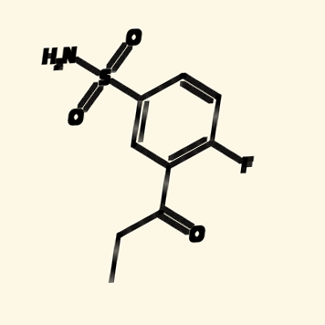 CCC(=O)c1cc(S(N)(=O)=O)ccc1F